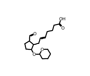 O=CC1CCC(OC2CCCCO2)C1CC=CCCCC(=O)O